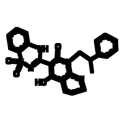 CC(Cn1c(=O)c(C2=NS(=O)(=O)c3ccccc3N2)c(O)c2cccnc21)c1ccccc1